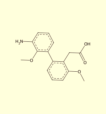 COc1cccc(-c2cccc(N)c2OC)c1CC(=O)O